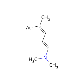 CC(=O)/C(C)=C\C=C\N(C)C